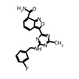 Cc1nc(NCc2cccc(F)c2)nc(-c2onc3c(C(N)=O)cccc23)n1